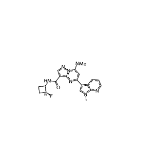 CNc1cc(-c2cn(C)c3ncccc23)nc2c(C(=O)NC3CC[C@@H]3F)cnn12